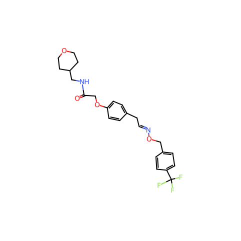 O=C(COc1ccc(CC=NOCc2ccc(C(F)(F)F)cc2)cc1)NCC1CCOCC1